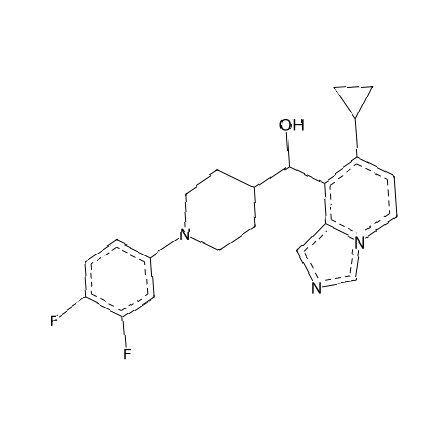 OC(c1c(C2CC2)ccn2cncc12)C1CCN(c2ccc(F)c(F)c2)CC1